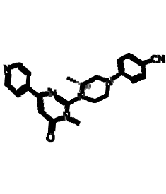 C[C@@H]1CN(c2ccc(C#N)cc2)CCN1c1nc(-c2ccncc2)cc(=O)n1C